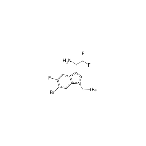 CC(C)(C)Cn1cc(C(N)C(F)F)c2cc(F)c(Br)cc21